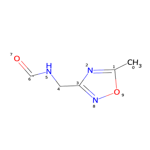 Cc1nc(CN[C]=O)no1